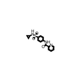 O=C(Nc1ccc(S(=O)(=O)NC2CC2)cc1)c1ccccn1